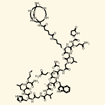 CSCC[C@H](NC(=O)[C@H](CC(C)C)NC(=O)[C@H](Cc1c[nH]cn1)NC(=O)CNC(=O)[C@@H](NC(=O)[C@H](C)NC(=O)[C@H](Cc1c[nH]c2ccccc12)NC(=O)[C@H](CCC(N)=O)NC(=O)[C@H](CC(N)=O)NC(=O)CNC(=O)[C@H](CC(C)C)NC(=O)[C@H](CCCCNC(=O)CCCC(=O)NC12CNCCNCC(N)(CNCCNC1)CNCCNC2)NC(=O)[C@H](CCC(N)=O)NC(=O)[C@@H]1CCC(=O)N1)C(C)C)C(N)=O